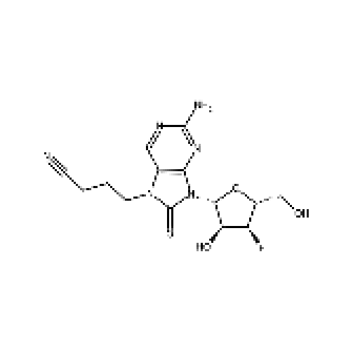 N#CCCCn1c(=O)n([C@@H]2O[C@H](CO)[C@@H](F)[C@H]2O)c2nc(N)ncc21